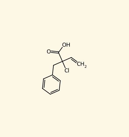 C=CC(Cl)(Cc1ccccc1)C(=O)O